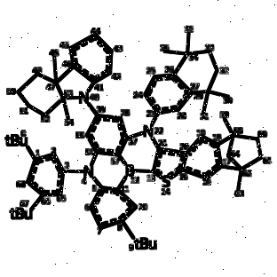 CC(C)(C)c1cc(N2c3ccc(C(C)(C)C)cc3B3c4sc5cc6c(cc5c4N(c4ccc5c(c4)C(C)(C)CCC5(C)C)c4cc(N5c7ccccc7C7(C)CCCCC57C)cc2c43)C2(C)CCC6(C)C2)cc(C(C)(C)C)c1